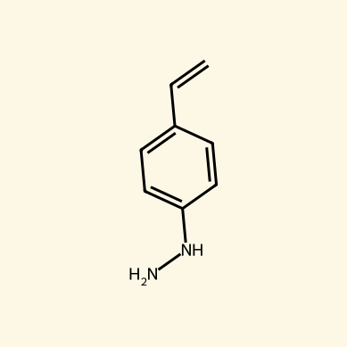 C=Cc1ccc(NN)cc1